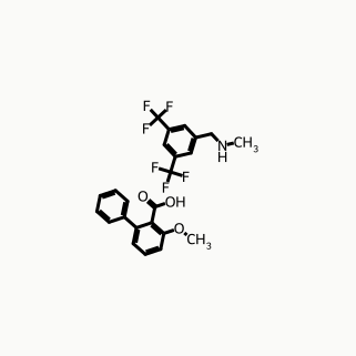 CNCc1cc(C(F)(F)F)cc(C(F)(F)F)c1.COc1cccc(-c2ccccc2)c1C(=O)O